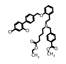 CCOC(=O)CCCCN(CCc1ccccc1OCc1ccc(-c2ccc(Cl)cc2Cl)cc1)Cc1ccc(C(=O)OC)cc1